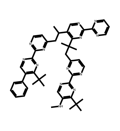 CNc1cnc(-c2nccc(CC(C)(C)c3nc(-c4ncccn4)ncc3C(C)Cc3ccnc(-c4ncc(-c5ccccc5)c(C(C)(C)C)n4)n3)n2)nc1C(C)(C)C